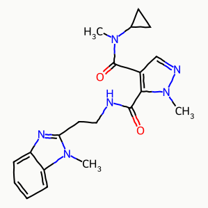 CN(C(=O)c1cnn(C)c1C(=O)NCCc1nc2ccccc2n1C)C1CC1